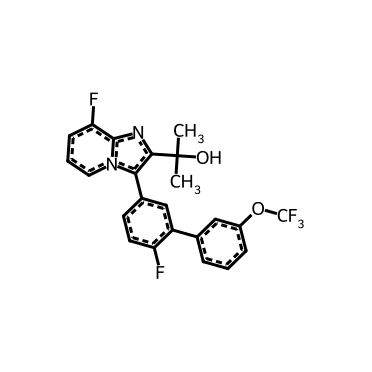 CC(C)(O)c1nc2c(F)cccn2c1-c1ccc(F)c(-c2cccc(OC(F)(F)F)c2)c1